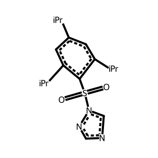 CC(C)c1cc(C(C)C)c(S(=O)(=O)n2cncn2)c(C(C)C)c1